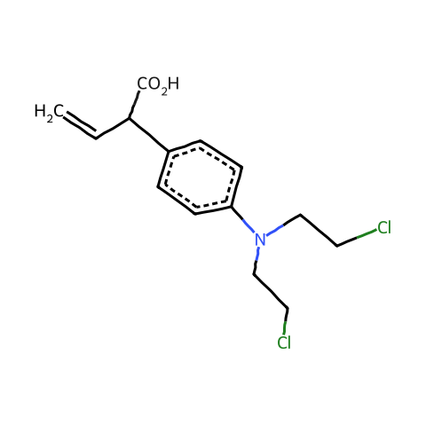 C=CC(C(=O)O)c1ccc(N(CCCl)CCCl)cc1